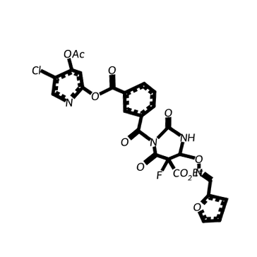 CCOC(=O)C1(F)C(=O)N(C(=O)c2cccc(C(=O)Oc3cc(OC(C)=O)c(Cl)cn3)c2)C(=O)NC1ON=Cc1ccco1